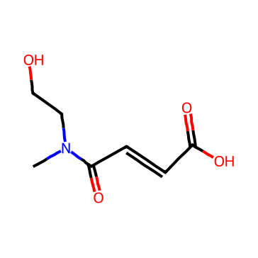 CN(CCO)C(=O)/C=C/C(=O)O